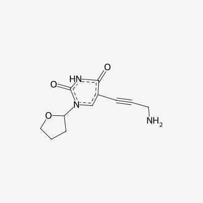 NCC#Cc1cn(C2CCCO2)c(=O)[nH]c1=O